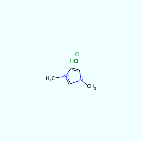 Cl.Cn1cc[n+](C)c1.[Cl-]